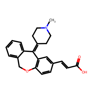 CN1CCC(=C2c3ccccc3COc3ccc(C=CC(=O)O)cc32)CC1